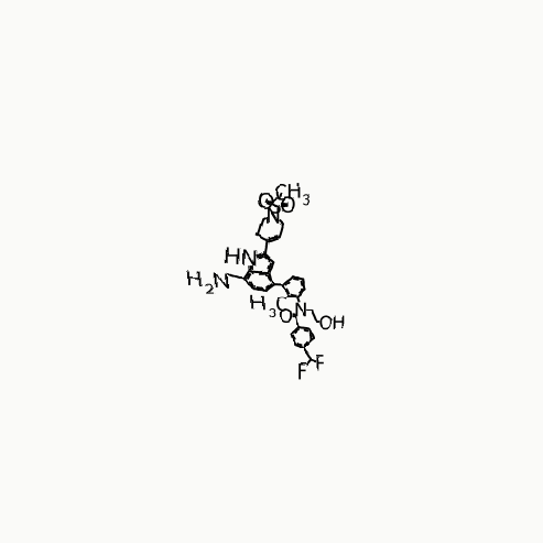 Cc1c(-c2ccc(CN)c3[nH]c(C4=CCN(S(C)(=O)=O)CC4)cc23)cccc1N(CCO)C(=O)c1ccc(C(F)F)cc1